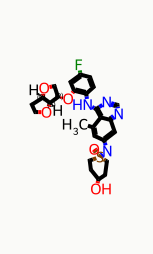 Cc1cc(N=S2(=O)CCC(O)CC2)cc2ncnc(Nc3ccc(F)cc3O[C@@H]3CO[C@@H]4CCO[C@@H]43)c12